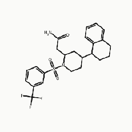 NC(=O)CC1CC(C2CCCc3ccccc32)CCN1S(=O)(=O)c1cccc(C(F)(F)F)c1